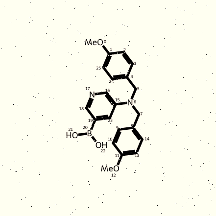 COc1ccc(CN(Cc2ccc(OC)cc2)c2cncc(B(O)O)c2)cc1